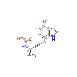 C[C@H](C#CC[C@H]1CNC(=O)c2cc[nH]c21)NC(=O)O